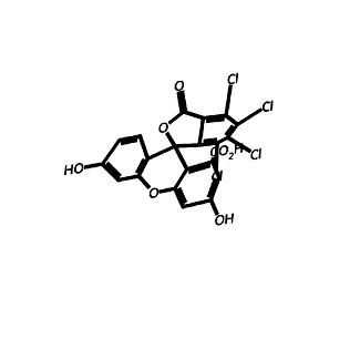 O=C(O)c1cc(O)cc2c1C1(OC(=O)c3c(Cl)c(Cl)c(Cl)c(Cl)c31)c1ccc(O)cc1O2